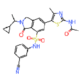 CC(=O)Nc1nc(C)c(-c2cc3c(c(S(=O)(=O)Nc4cccc(C#N)c4)c2)C(=O)N(C(C)C2CC2)C3)s1